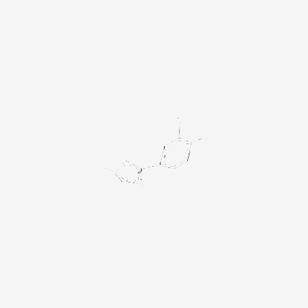 Cc1csc(-c2ccc(C)c(Cl)c2)c1